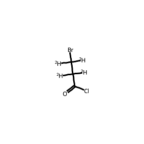 [2H]C([2H])(Br)C([2H])([2H])C(=O)Cl